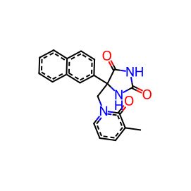 Cc1cccn(CC2(c3ccc4ccccc4c3)NC(=O)NC2=O)c1=O